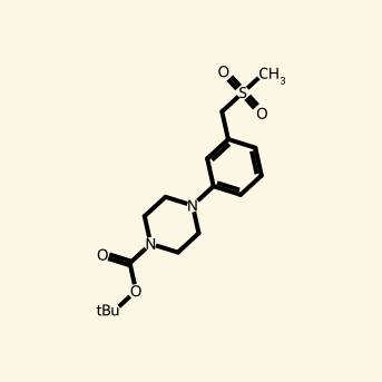 CC(C)(C)OC(=O)N1CCN(c2cccc(CS(C)(=O)=O)c2)CC1